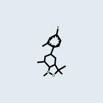 Cc1cc(F)ccc1C1CC(C)C2C(C1)C(C)(C)ON2C